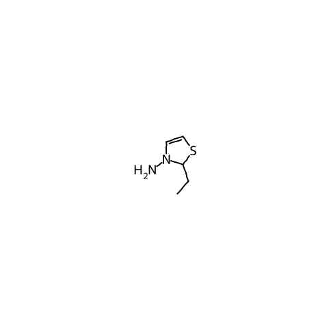 CCC1SC=CN1N